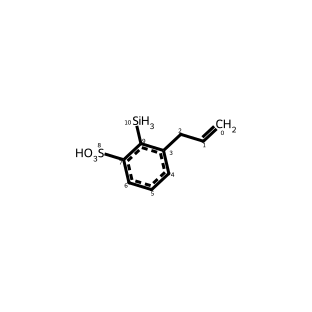 C=CCc1cccc(S(=O)(=O)O)c1[SiH3]